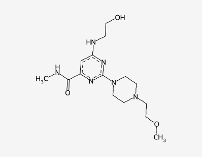 CNC(=O)c1cc(NCCO)nc(N2CCN(CCOC)CC2)n1